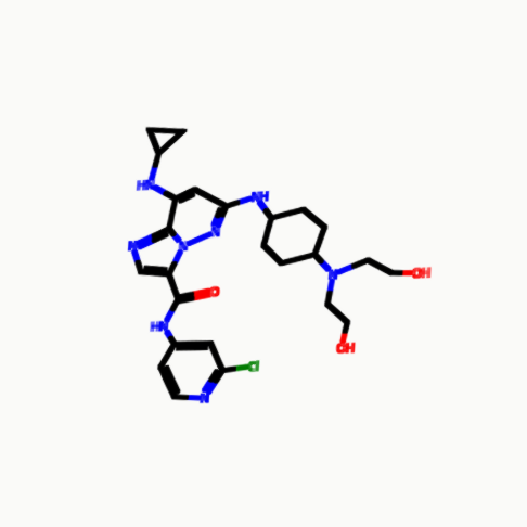 O=C(Nc1ccnc(Cl)c1)c1cnc2c(NC3CC3)cc(NC3CCC(N(CCO)CCO)CC3)nn12